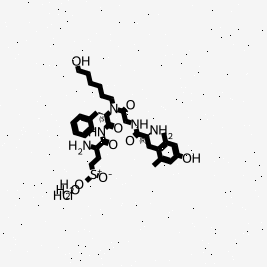 Cc1cc(O)cc(C)c1C[C@@H](N)C(=O)NCC(=O)N(CCCCCCO)[C@@H](Cc1ccccc1)C(=O)NC(=O)C(N)CC[S+](C)[O-].Cl.O.O